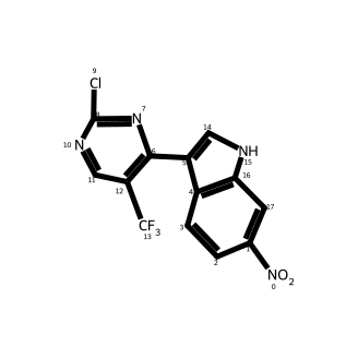 O=[N+]([O-])c1ccc2c(-c3nc(Cl)ncc3C(F)(F)F)c[nH]c2c1